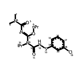 CCCOC(=NC(=O)N(C)C)N(C(=O)NSc1cccc(Cl)c1)C(C)C